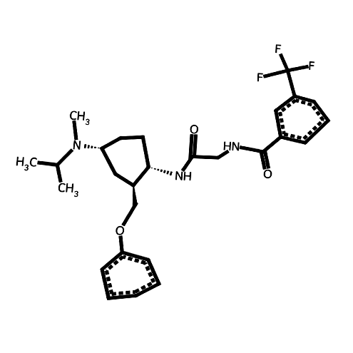 CC(C)N(C)[C@@H]1CC[C@H](NC(=O)CNC(=O)c2cccc(C(F)(F)F)c2)[C@@H](COc2ccccc2)C1